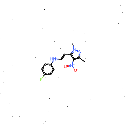 Cc1nn(C)c(C=CNc2ccc(F)cc2)c1[N+](=O)[O-]